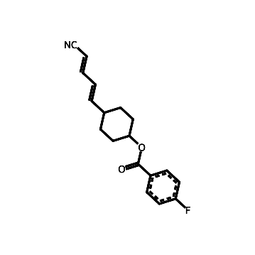 N#CC=CC=CC1CCC(OC(=O)c2ccc(F)cc2)CC1